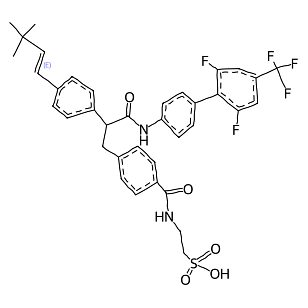 CC(C)(C)/C=C/c1ccc(C(Cc2ccc(C(=O)NCCS(=O)(=O)O)cc2)C(=O)Nc2ccc(-c3c(F)cc(C(F)(F)F)cc3F)cc2)cc1